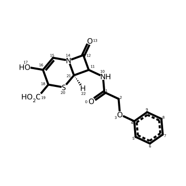 O=C(COc1ccccc1)NC1C(=O)N2C=C(O)C(C(=O)O)S[C@H]12